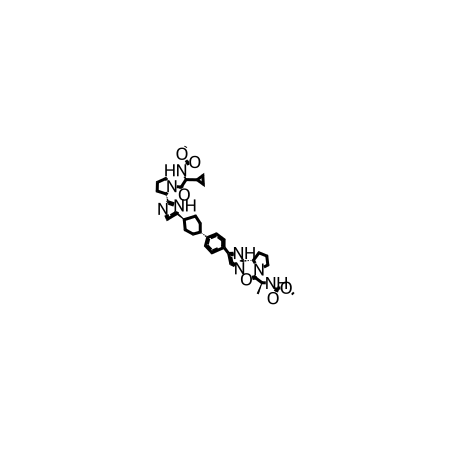 COC(=O)N[C@@H](C)C(=O)N1CCC[C@H]1c1ncc(-c2ccc([C@H]3CC[C@H](c4cnc([C@@H]5CCCN5C(=O)[C@@H](NC(=O)OC)C5CC5)[nH]4)CC3)cc2)[nH]1